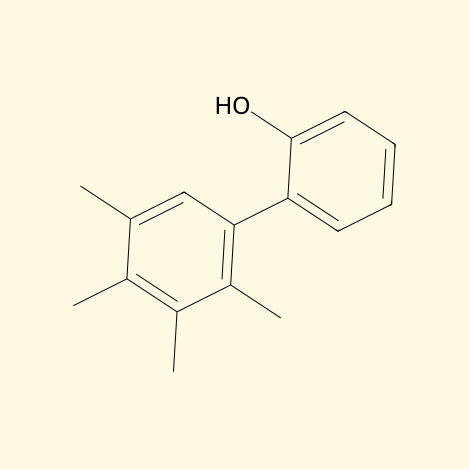 Cc1cc(-c2ccccc2O)c(C)c(C)c1C